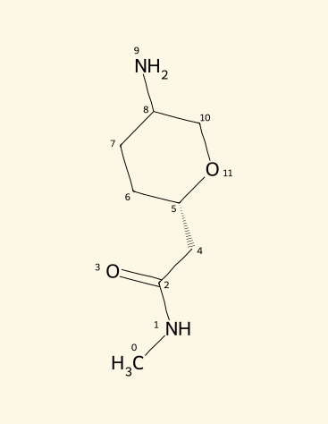 CNC(=O)C[C@@H]1CCC(N)CO1